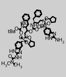 CN(C)C(=O)Nc1nc2cc(S(=O)(=O)N(CC(OC(=O)N[C@@H](Cc3ccccc3)[C@@H](O)CN(OC3CCCC3)S(=O)(=O)c3ccc4[nH]c(N)nc4c3)C(Cc3ccccc3)N(C(=O)OC(C)(C)C)C(C)(C)C)OC3CCCC3)ccc2[nH]1